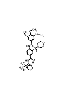 COc1cc(CNc2ccc(C(=O)NC3[C@H]4CC[C@H](C4)C3(C)C)cc2S(=O)(=O)N2CCOCC2)cc(OC)c1OC